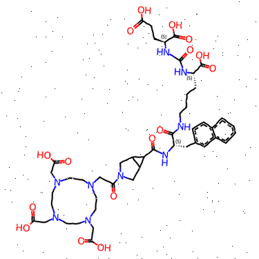 O=C(O)CC[C@H](NC(=O)N[C@@H](CCCCNC(=O)[C@H](Cc1ccc2ccccc2c1)NC(=O)C1C2CN(C(=O)CN3CCN(CC(=O)O)CCN(CC(=O)O)CCN(CC(=O)O)CC3)CC21)C(=O)O)C(=O)O